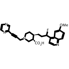 COc1ccc2nccc(C(F)CC[C@@H]3CCN(CC#Cc4cnccn4)C[C@@H]3C(=O)O)c2c1